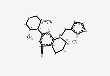 C[C@@H]1COC[C@@H](C)N1c1cc(=O)n2c(n1)N(Cc1ccon1)[C@H](C(F)(F)F)CC2